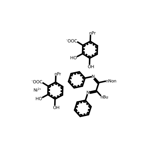 CCCCCCCCCC(=Nc1ccccc1)C(CCCC)=Nc1ccccc1.CCCc1ccc(O)c(O)c1C(=O)[O-].CCCc1ccc(O)c(O)c1C(=O)[O-].[Ni+2]